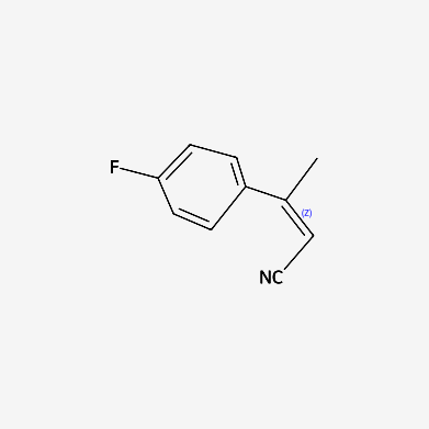 C/C(=C/C#N)c1ccc(F)cc1